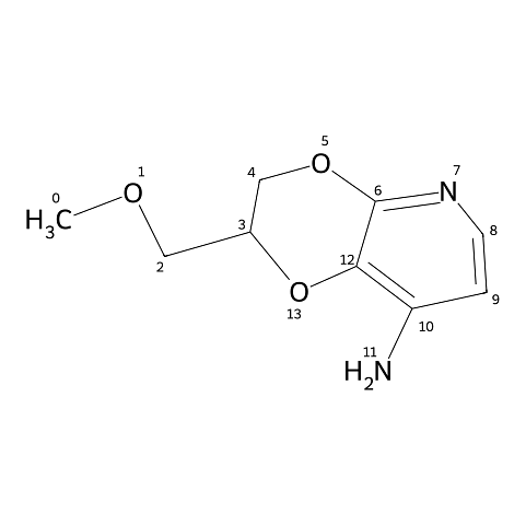 COCC1COc2nccc(N)c2O1